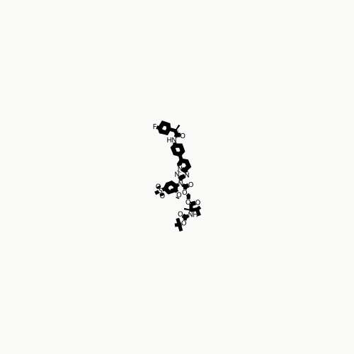 COc1cc(S(C)(=O)=O)ccc1N(C(=O)OCOC(=O)[C@@](C)(NC(=O)OC(C)(C)C)C(C)C)c1nc2ccc(-c3ccc(NC(=O)[C@H](C)c4ccc(F)cc4)cc3)cn2n1